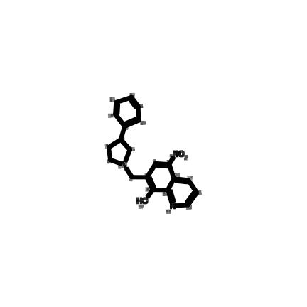 O=[N+]([O-])c1cc(CN2CCC(c3ccccc3)C2)c(O)c2ncccc12